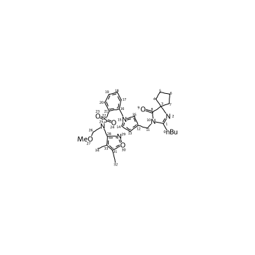 CCCCC1=NC2(CCCC2)C(=O)N1Cc1ccn(-c2ccccc2S(=O)(=O)N(COC)c2noc(C)c2C)c1